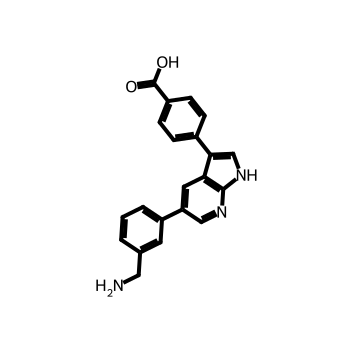 NCc1cccc(-c2cnc3[nH]cc(-c4ccc(C(=O)O)cc4)c3c2)c1